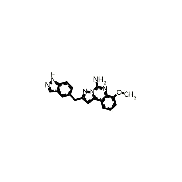 COc1cccc2c1nc(N)n1nc(Cc3ccc4[nH]ncc4c3)cc21